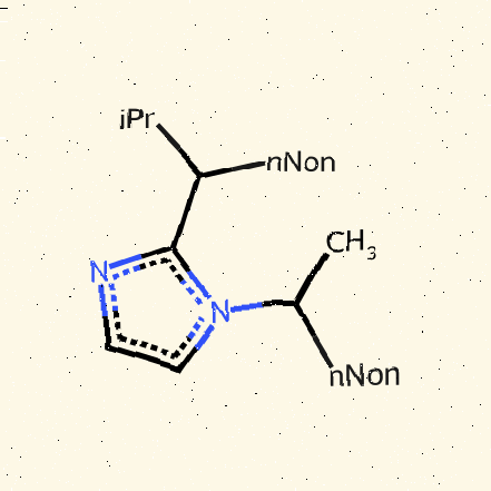 CCCCCCCCCC(c1nccn1C(C)CCCCCCCCC)C(C)C